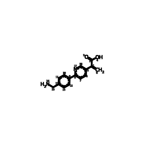 C=C(C(=O)O)c1ccc(-c2ccc(CN)cc2)nc1